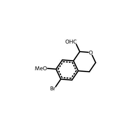 COc1cc2c(cc1Br)CCOC2C=O